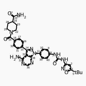 CC(C)(C)c1cc(NC(=O)Nc2ccc(-n3nc(-c4ccc(C(=O)N5CCC(C(N)=O)CC5)cc4)c4c(N)ncnc43)cc2)no1